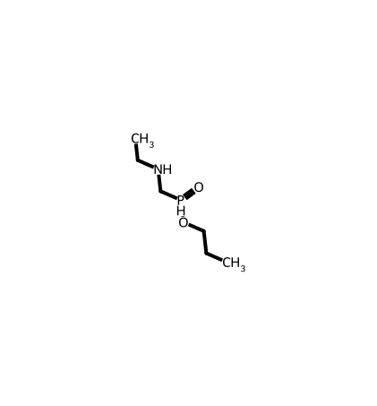 CCCO[PH](=O)CNCC